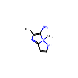 CC1=C(N)[N+]2(C)NC=CC2=N1